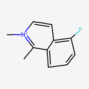 Cc1c2cccc(F)c2cc[n+]1C